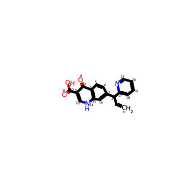 C=CC(c1ccc2c(=O)c(C(=O)O)c[nH]c2c1)c1ccccn1